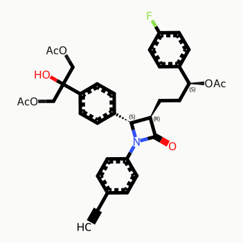 C#Cc1ccc(N2C(=O)[C@H](CC[C@H](OC(C)=O)c3ccc(F)cc3)[C@H]2c2ccc(C(O)(COC(C)=O)COC(C)=O)cc2)cc1